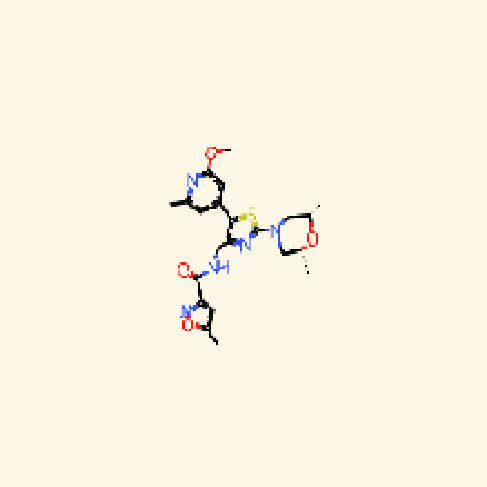 COc1cc(-c2sc(N3C[C@@H](C)O[C@@H](C)C3)nc2CNC(=O)c2cc(C)on2)cc(C)n1